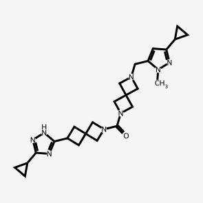 Cn1nc(C2CC2)cc1CN1CC2(C1)CN(C(=O)N1CC3(CC(c4nc(C5CC5)n[nH]4)C3)C1)C2